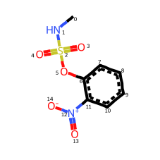 CNS(=O)(=O)Oc1ccccc1[N+](=O)[O-]